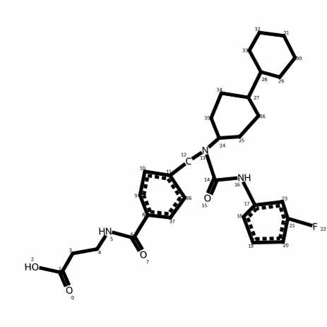 O=C(O)CCNC(=O)c1ccc(CN(C(=O)Nc2cccc(F)c2)C2CCC(C3CCCCC3)CC2)cc1